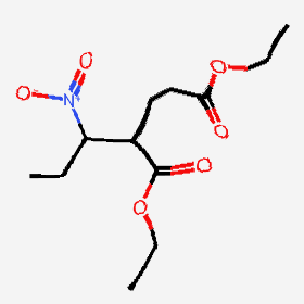 CCOC(=O)CC(C(=O)OCC)C(CC)[N+](=O)[O-]